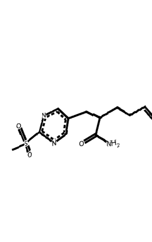 C=CCCC(Cc1cnc(S(C)(=O)=O)nc1)C(N)=O